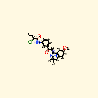 CCC(Cl)C(=O)Nc1cccc(C(=O)/C=C2\NC(C)(C)Cc3ccc(OC)cc32)c1